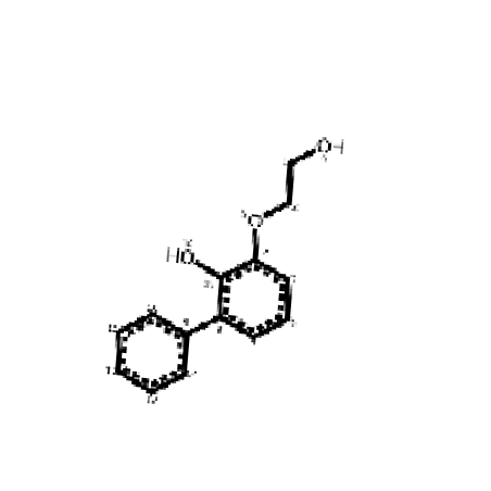 OCCOc1cccc(-c2ccccc2)c1O